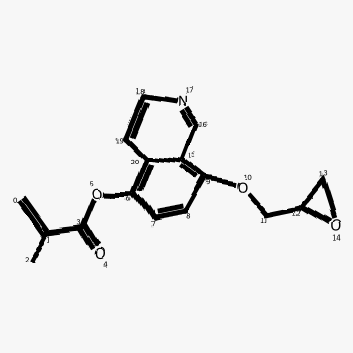 C=C(C)C(=O)Oc1ccc(OCC2CO2)c2cnccc12